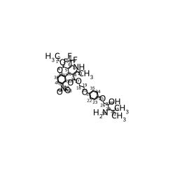 CCOC(=O)C1=C(C(F)(F)F)NC(C)=C(C(=O)OCCOc2ccc(OCC(O)C(N)C(C)C)cc2)C1c1cccc([N+](=O)[O-])c1